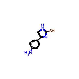 Nc1ccc(-c2c[nH]c(S)n2)cc1